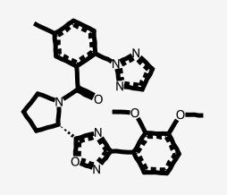 COc1cccc(-c2noc([C@@H]3CCCN3C(=O)c3cc(C)ccc3-n3nccn3)n2)c1OC